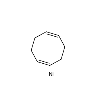 C1=CCCC=CCC1.[Ni]